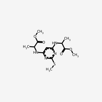 COC(=O)C(C)Nc1cc(NC(C)C(=O)OC)nc(SC)n1